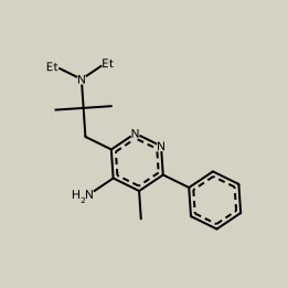 CCN(CC)C(C)(C)Cc1nnc(-c2ccccc2)c(C)c1N